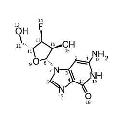 Nc1cc2c(ncn2[C@@H]2O[C@H](CO)[C@@H](F)[C@H]2O)c(=O)[nH]1